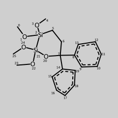 CO[Si]1(OC)CCC(c2ccccc2)(c2ccccc2)O[Si]1(OC)OC